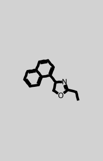 CCC1=NC(c2cccc3ccccc23)CO1